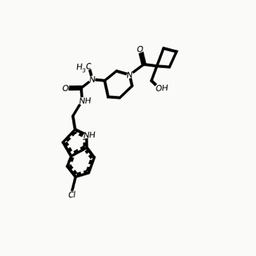 CN(C(=O)NCc1cc2cc(Cl)ccc2[nH]1)C1CCCN(C(=O)C2(CO)CCC2)C1